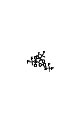 CC(F)(F)SOOC(S(=O)(=O)C(C)(F)F)S(=O)(=O)C(C)(F)F